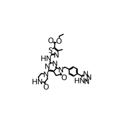 CCOC(=O)c1sc(Nc2nc(N3CCNC(=O)C3)c3c(n2)N(Cc2ccc(-c4nnn[nH]4)cc2)C(=O)C3)nc1C